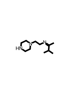 CC(=NCCN1CCNCC1)C(C)C